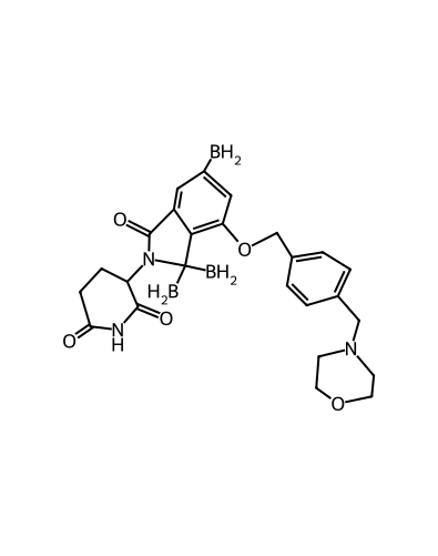 Bc1cc(OCc2ccc(CN3CCOCC3)cc2)c2c(c1)C(=O)N(C1CCC(=O)NC1=O)C2(B)B